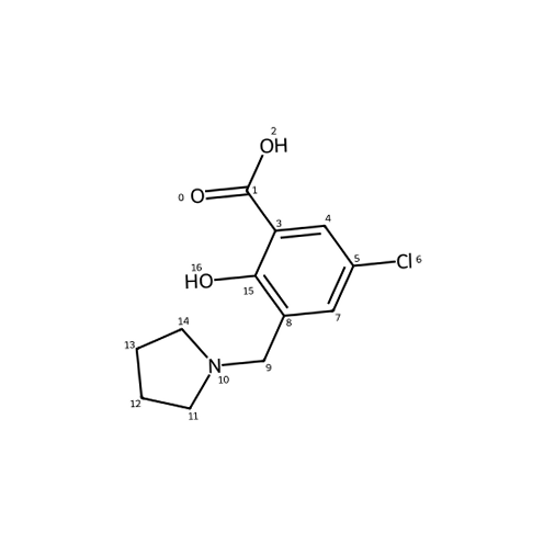 O=C(O)c1cc(Cl)cc(CN2CCCC2)c1O